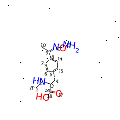 CCNC(Cc1ccc(/C(C)=N\ON)cc1)C(=O)O